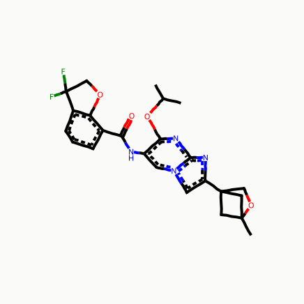 CC(C)Oc1nc2nc(C34COC(C)(C3)C4)cn2cc1NC(=O)c1cccc2c1OCC2(F)F